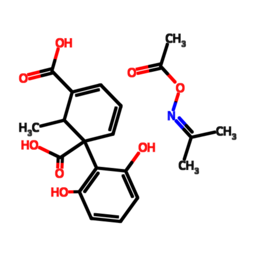 CC(=O)ON=C(C)C.CC1C(C(=O)O)=CC=CC1(C(=O)O)c1c(O)cccc1O